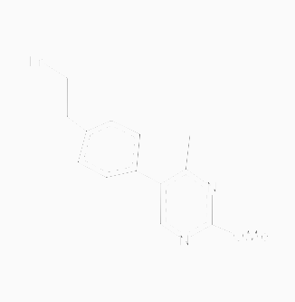 COc1ncc(-c2ccc(CCC(C)C)cc2)c(C)n1